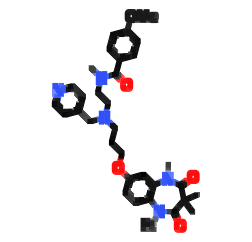 CCN1C(=O)C(C)(C)C(=O)N(C)c2cc(OCCCN(CCN(C)C(=O)c3ccc(OC)cc3)Cc3ccncc3)ccc21